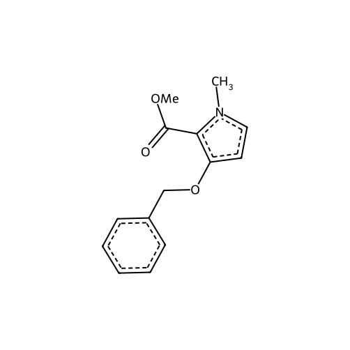 COC(=O)c1c(OCc2ccccc2)ccn1C